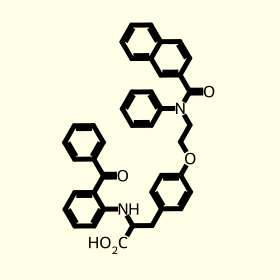 O=C(c1ccccc1)c1ccccc1NC(Cc1ccc(OCCN(C(=O)c2ccc3ccccc3c2)c2ccccc2)cc1)C(=O)O